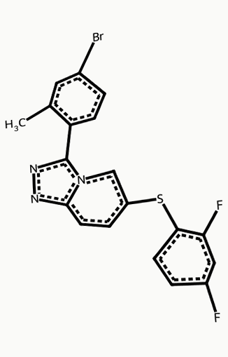 Cc1cc(Br)ccc1-c1nnc2ccc(Sc3ccc(F)cc3F)cn12